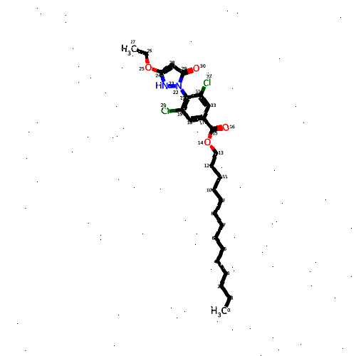 CCCCCCCCCCCCCCOC(=O)c1cc(Cl)c(-n2[nH]c(OCC)cc2=O)c(Cl)c1